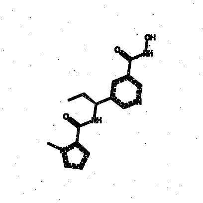 CC[C@H](NC(=O)c1cccn1C)c1cncc(C(=O)NO)c1